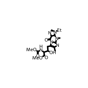 CCN1C=NC2C(=O)n3c(nc(C)c3CC(O)C(NC(=O)OC)C(=O)OC)N(C)C21